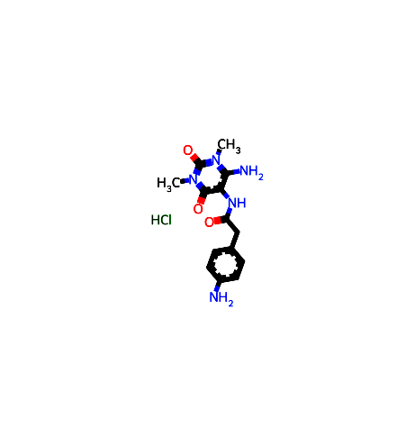 Cl.Cn1c(N)c(NC(=O)Cc2ccc(N)cc2)c(=O)n(C)c1=O